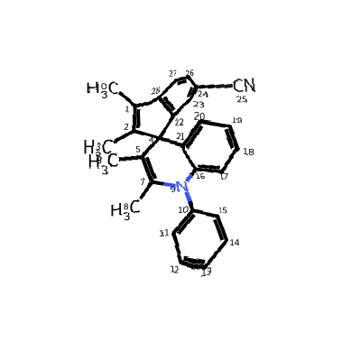 CC1=C(C)C2(C(C)=C(C)N(c3ccccc3)c3ccccc32)c2cc(C#N)ccc21